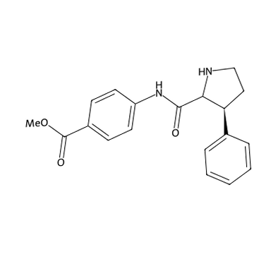 COC(=O)c1ccc(NC(=O)C2NCC[C@H]2c2ccccc2)cc1